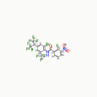 O=C(Nc1c(Br)cc(C(C(F)(F)F)C(F)(F)F)cc1C(F)(F)F)c1cccc([N+](=O)[O-])c1F